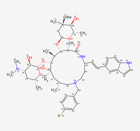 CO[C@]1(C)C[C@H](O[C@H]2[C@H](C)[C@@H](O[C@@H]3O[C@H](C)C[C@H](N(C)C)[C@H]3O)[C@](C)(O)C[C@@H](C)CN(Cc3ccc(Br)cc3)CCC(/C=C/c3ccc4[nH]ccc4c3)NC(=O)[C@H]2C)O[C@@H](C)[C@@H]1O